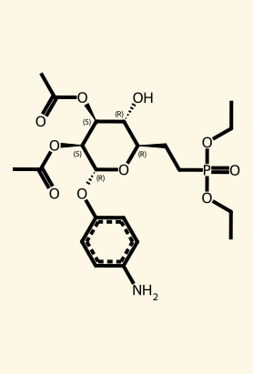 CCOP(=O)(CC[C@H]1O[C@H](Oc2ccc(N)cc2)[C@@H](OC(C)=O)[C@@H](OC(C)=O)[C@@H]1O)OCC